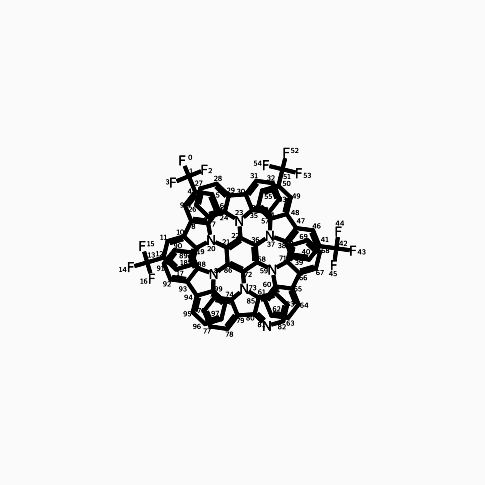 FC(F)(F)c1ccc2c(c1)c1cc(C(F)(F)F)ccc1n2-c1c(-n2c3ccccc3c3ccccc32)c(-n2c3ccc(C(F)(F)F)cc3c3cc(C(F)(F)F)ccc32)c(-n2c3ccccc3c3ccccc32)c(-n2c3ccccc3c3ncccc32)c1-n1c2ccccc2c2ccccc21